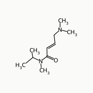 CC(C)N(C)C(=O)/C=C/CN(C)C